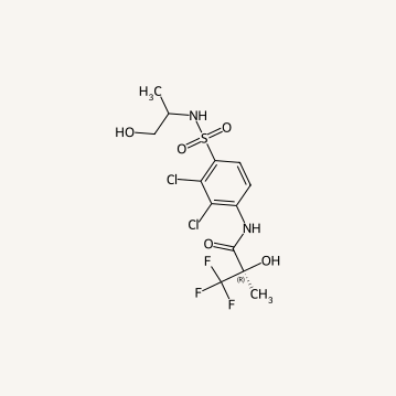 CC(CO)NS(=O)(=O)c1ccc(NC(=O)[C@@](C)(O)C(F)(F)F)c(Cl)c1Cl